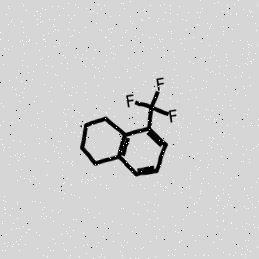 FC(F)(F)c1cccc2c1C[CH]CC2